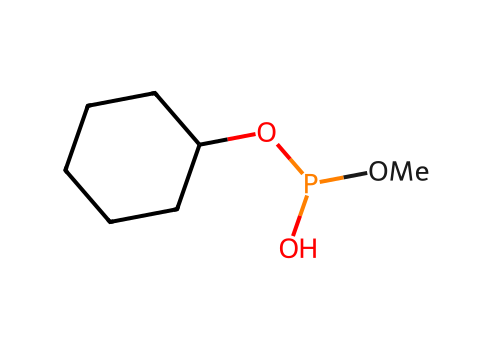 COP(O)OC1CCCCC1